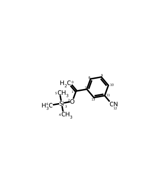 C=C(O[Si](C)(C)C)c1cccc(C#N)c1